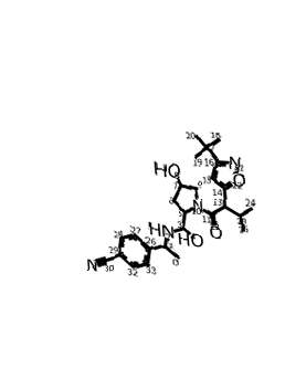 CC(NC(O)C1CC(O)CN1C(=O)C(c1cc(C(C)(C)C)no1)C(C)C)c1ccc(C#N)cc1